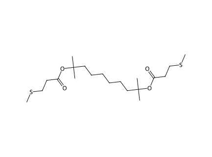 CSCCC(=O)OC(C)(C)CCCCCCC(C)(C)OC(=O)CCSC